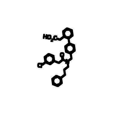 O=C(O)Cc1ccccc1-c1ccc(CN(CCCc2ccccc2)C(=O)Cc2cccc(Cl)c2)cc1